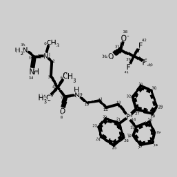 CN(CCC(C)(C)C(=O)NCCCC[P+](c1ccccc1)(c1ccccc1)c1ccccc1)C(=N)N.O=C([O-])C(F)(F)F